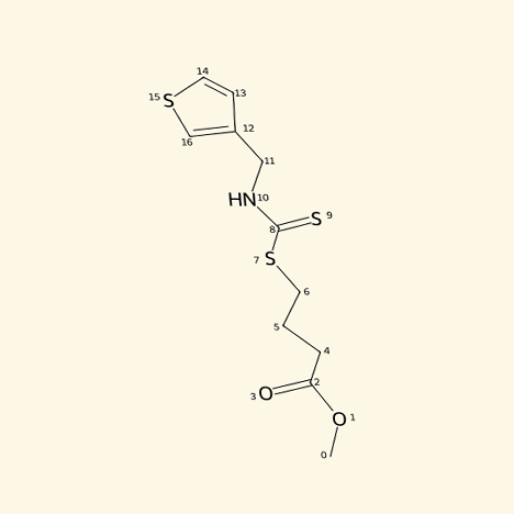 COC(=O)CCCSC(=S)NCc1ccsc1